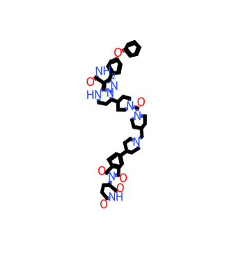 NC(=O)c1c(-c2ccc(Oc3ccccc3)cc2)nn2c1NCCC2C1CCN(C(=O)N2CCC(CN3CCC(c4ccc5c(c4)C(=O)N(C4CCC(=O)NC4=O)C5=O)CC3)CC2)CC1